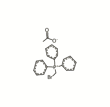 BrC[P+](c1ccccc1)(c1ccccc1)c1ccccc1.CC(=O)[O-]